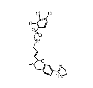 CN(Cc1ccc(C2=NCCN2)cc1)C(=O)C=CCNCS(=O)(=O)c1ccc(Cl)c(Cl)c1Cl